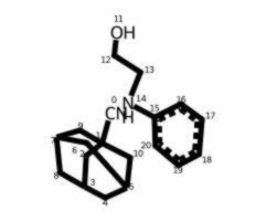 N#CC12CC3CC(CC(C3)C1)C2.OCCNc1ccccc1